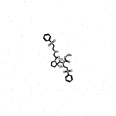 CC(C)(C)OC(=O)N(CCS(=O)(=O)c1ccccc1)C(C(=O)O)[C@]1(C#N)CCCN1C(=O)CNCCS(=O)(=O)c1ccccc1